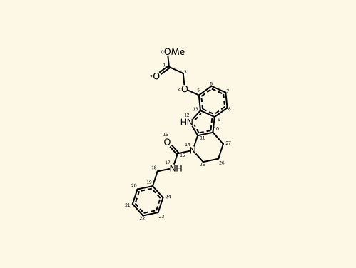 COC(=O)COc1cccc2c3c([nH]c12)N(C(=O)NCc1ccccc1)CCC3